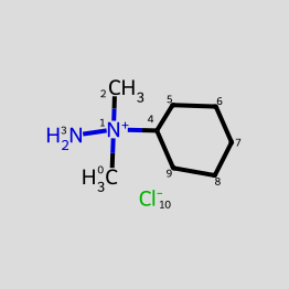 C[N+](C)(N)C1CCCCC1.[Cl-]